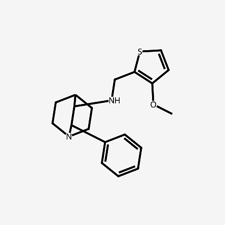 COc1ccsc1CNC1C2CCN(CC2)C1c1ccccc1